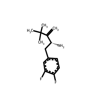 C=C([C@H](N)Cc1ccc(F)c(F)c1)C(C)(C)C